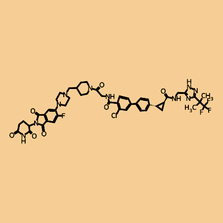 CC(C)(c1n[nH]c(CNC(=O)[C@H]2C[C@@H]2c2ccc(-c3ccc(C(=O)NCC(=O)N4CCC(CN5CCN(c6cc7c(cc6F)C(=O)N(C6CCC(=O)NC6=O)C7=O)CC5)CC4)c(Cl)c3)cc2)n1)C(F)(F)F